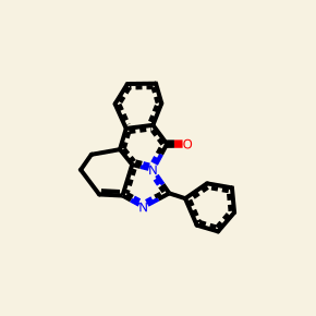 O=c1c2ccccc2c2c3c(nc(-c4ccccc4)n13)=CCC2